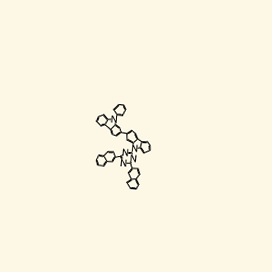 c1ccc(-n2c3ccccc3c3ccc(-c4ccc5c6ccccc6n(-c6nc(-c7ccc8ccccc8c7)nc(-c7ccc8ccccc8c7)n6)c5c4)cc32)cc1